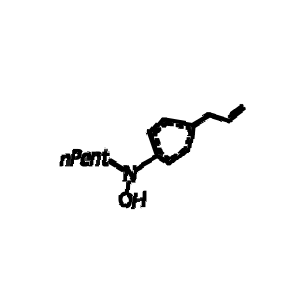 C=CCc1ccc(N(O)CCCCC)cc1